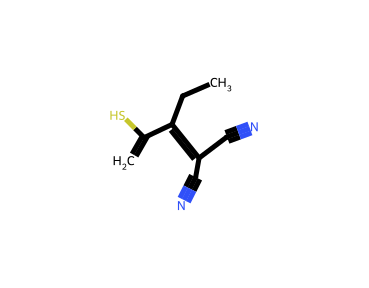 C=C(S)C(CC)=C(C#N)C#N